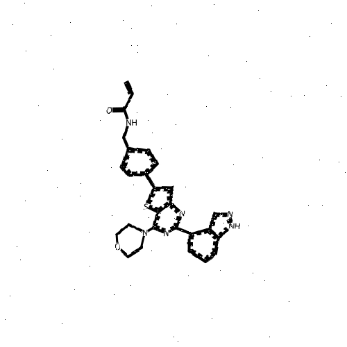 C=CC(=O)NCc1ccc(-c2cc3nc(-c4cccc5[nH]ncc45)nc(N4CCOCC4)c3s2)cc1